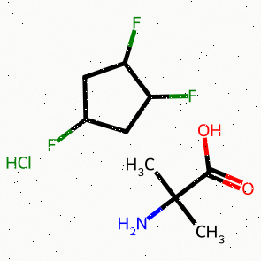 CC(C)(N)C(=O)O.Cl.FC1CC(F)C(F)C1